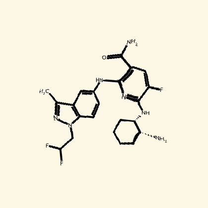 Cc1nn(CC(F)F)c2ccc(Nc3nc(N[C@H]4CCCC[C@H]4N)c(F)cc3C(N)=O)cc12